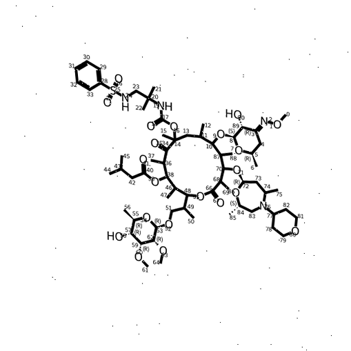 CON=C1C[C@@H](C)O[C@@H](OC2C(C)CC(C)(OC(=O)NC(C)(C)CNS(=O)(=O)c3ccccc3)C(=O)C(C)C(OC(=O)CC(C)C)C(C)C(C(C)CO[C@@H]3O[C@H](C)[C@@H](O)[C@@H](OC)[C@H]3OC)OC(=O)C(C)C(O[C@H]3CC(C)N(C4CCOCC4)C[C@H](C)O3)C2C)[C@@H]1O